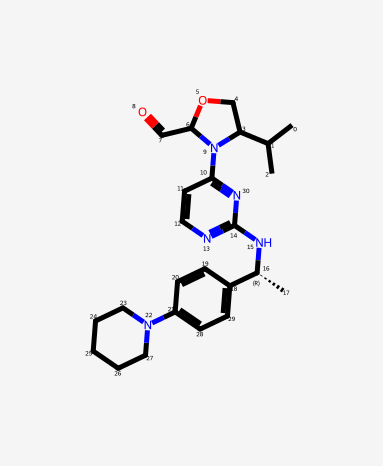 CC(C)C1COC(C=O)N1c1ccnc(N[C@H](C)c2ccc(N3CCCCC3)cc2)n1